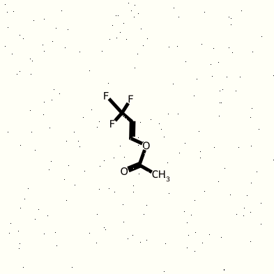 CC(=O)OC=CC(F)(F)F